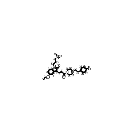 CCOc1ccc2c(c1)c(/C=C/C(=O)N1CCN(CCc3ccc(F)cc3)CC1)c(C)n2CCCN(C)C